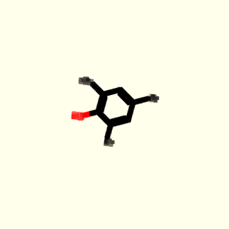 CCCCc1cc(C(C)C)cc(C(C)C)c1O